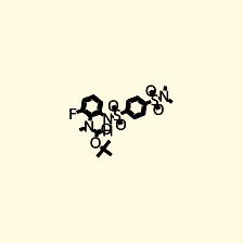 CN(C(=O)OC(C)(C)C)c1c(F)cccc1NS(=O)(=O)c1ccc(S(=O)(=O)N(C)C)cc1